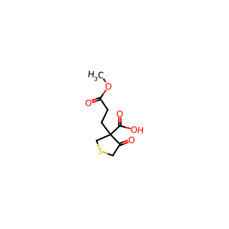 COC(=O)CCC1(C(=O)O)CSCC1=O